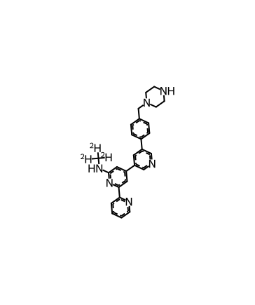 [2H]C([2H])([2H])Nc1cc(-c2cncc(-c3ccc(CN4CCNCC4)cc3)c2)cc(-c2ccccn2)n1